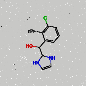 CCCc1c(Cl)cccc1C(O)C1NC=CN1